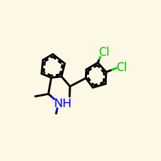 CNC(C)c1ccccc1C(C)c1ccc(Cl)c(Cl)c1